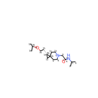 CC(C)NC(=O)CN1CCC2(CC1)C[C@@H]2CCOC(C)C